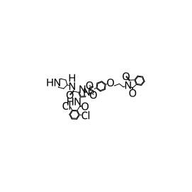 O=C(NC1CCNCC1)c1nn(S(=O)(=O)c2ccc(OCCCN3C(=O)c4ccccc4C3=O)cc2)cc1NC(=O)c1c(Cl)cccc1Cl